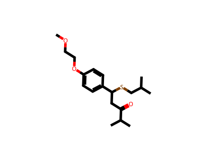 COCCOc1ccc(C(CC(=O)C(C)C)SCC(C)C)cc1